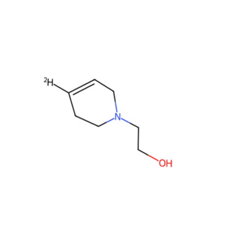 [2H]C1=CCN(CCO)CC1